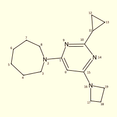 c1c(N2CCCCCC2)nc(C2CC2)nc1N1CCC1